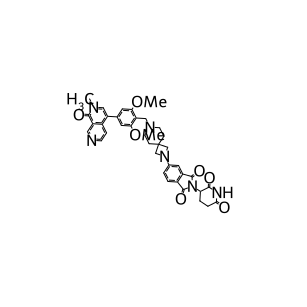 COc1cc(-c2cn(C)c(=O)c3cnccc23)cc(OC)c1CN1CCC2(CC1)CN(c1ccc3c(c1)C(=O)N(C1CCC(=O)NC1=O)C3=O)C2